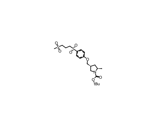 C[C@@H]1C[C@H](COc2ccc(S(=O)(=O)CCCS(C)(=O)=O)cc2)CN1C(=O)OC(C)(C)C